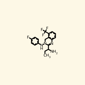 CCC(N)C1=Nc2cccc(C(F)(F)F)c2CN1Nc1ccc(F)cc1